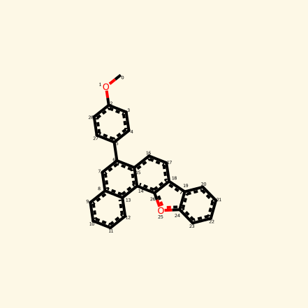 COc1ccc(-c2cc3ccccc3c3c2ccc2c4ccccc4oc23)cc1